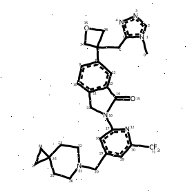 Cn1cnnc1CC1(c2ccc3c(c2)C(=O)N(c2cc(CN4CCC5(CC4)CC5)cc(C(F)(F)F)n2)C3)COC1